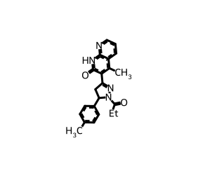 CCC(=O)N1N=C(c2c(C)c3cccnc3[nH]c2=O)CC1c1ccc(C)cc1